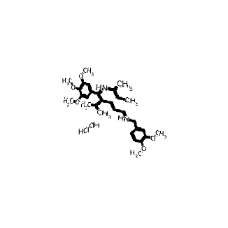 CCC(C)NC(c1cc(OC)c(OC)c(OC)c1)C(CCCNCc1ccc(OC)c(OC)c1)C(C)C.Cl.Cl